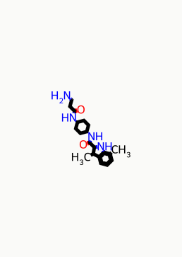 Cc1cccc2c1NC(C(=O)N[C@H]1CC[C@H](NC(=O)CCN)CC1)C2C